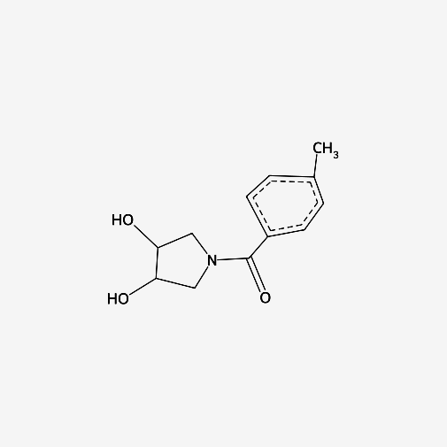 Cc1ccc(C(=O)N2CC(O)C(O)C2)cc1